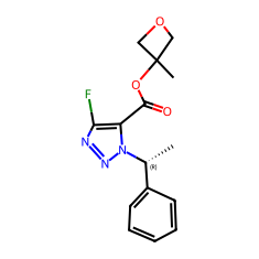 C[C@H](c1ccccc1)n1nnc(F)c1C(=O)OC1(C)COC1